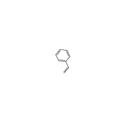 [CH]=Cc1ccccc1